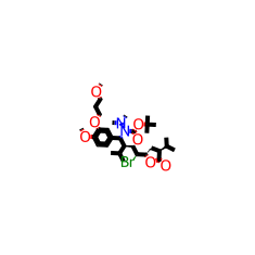 COCCCOc1cc(C([C@@H](C[C@@H](Br)[C@@H]2C[C@@H](C(C)C)C(=O)O2)C(C)C)N(C(=O)OC(C)(C)C)N(C)C)ccc1OC